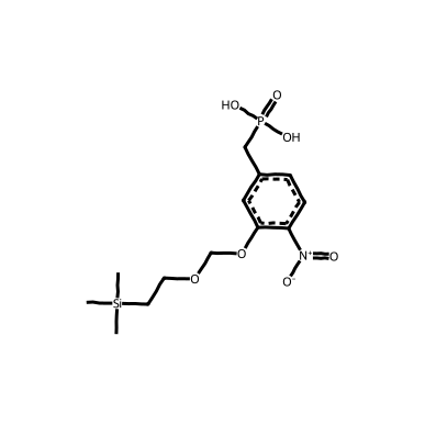 C[Si](C)(C)CCOCOc1cc(CP(=O)(O)O)ccc1[N+](=O)[O-]